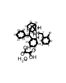 Ic1ccccc1CN[C@@H]1C2CCN(CC2)[C@@H]1C(c1ccccc1)c1ccccc1.O.O=C(O)C(=O)O